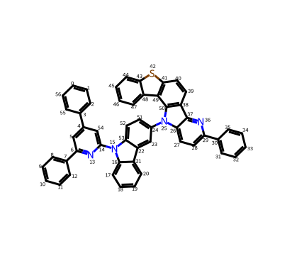 c1ccc(-c2cc(-c3ccccc3)nc(-n3c4ccccc4c4cc(-n5c6ccc(-c7ccccc7)nc6c6ccc7sc8ccccc8c7c65)ccc43)c2)cc1